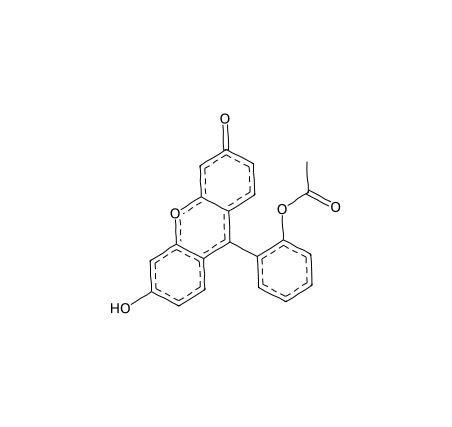 CC(=O)Oc1ccccc1-c1c2ccc(=O)cc-2oc2cc(O)ccc12